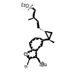 CCOC(=O)/C=C(C)/C=C/[C@@H]1C[C@]1(C)c1ccc2oc(CC)c(C(C)(C)C)c2c1